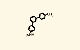 Cc1ccc(-c2cccc(-c3ccc(NF)cc3)c2)cc1